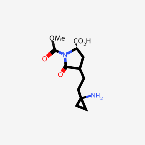 COC(=O)N1C(=O)C(CCC2(N)CC2)C[C@H]1C(=O)O